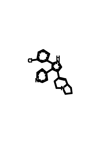 Clc1cccc(-c2[nH]cc(C3=CC4CCCN4CC3)c2-c2ccncc2)c1